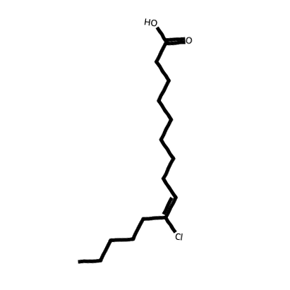 CCCCC/C(Cl)=C\CCCCCCCC(=O)O